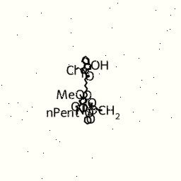 C=CCOC(=O)N1c2cc(OCCCCCC(=O)N3C[C@@H](CCl)c4c3cc(O)c3ccccc43)c(OC)cc2C(=O)N(CCCCC)C[C@@H]1OC1CCCCO1